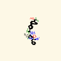 CC(C)(F)C[C@H](N[C@@H](c1ccc(-c2ccc([C@@H](O)C(F)F)cc2)cc1)C(F)(F)F)C(=O)N[C@H](C#N)Cc1ccccc1